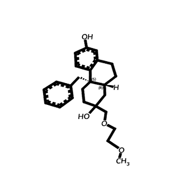 COCCOCC1(O)CC[C@@]2(Cc3ccccc3)c3ccc(O)cc3CC[C@@H]2C1